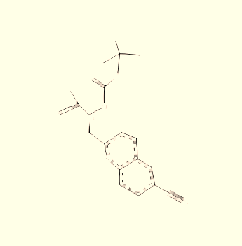 CC(C)(C)OC(=O)N[C@@H](Cc1ccc2cc(C#N)ccc2n1)C(=O)O